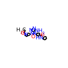 C=CC(=O)N1CCC2CC(n3c(=O)n(-c4ccc(C(=O)Nc5ccccc5)cc4)c4c(N)ncnc43)CC21